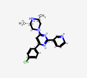 C[C@@H]1CN(c2cc(-c3ccc(Cl)cc3)nc(-c3cccnc3)n2)C[C@H](C)N1